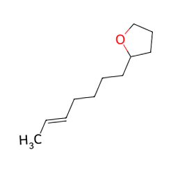 CC=CCCCCC1CCCO1